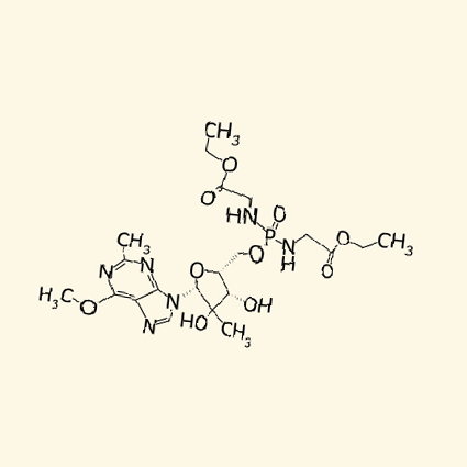 CCOC(=O)CNP(=O)(NCC(=O)OCC)OC[C@H]1O[C@@H](n2cnc3c(OC)nc(C)nc32)C(C)(O)[C@H]1O